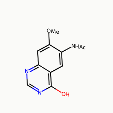 COc1cc2ncnc(O)c2cc1NC(C)=O